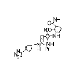 CC(C)[C@@H](Nc1c(Nc2cccc(C(=O)N(C)C)c2O)c(=O)c1=O)C(=O)NCc1ccc(-c2csnn2)cc1